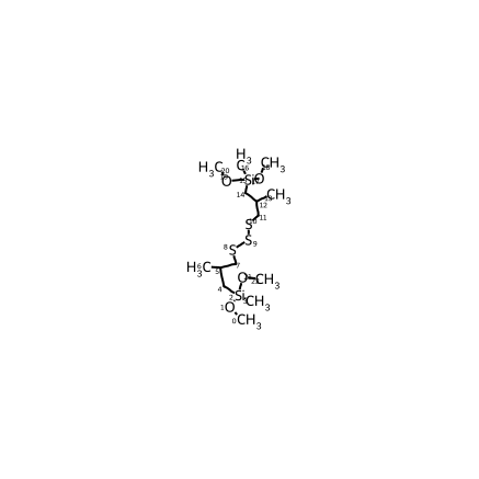 CO[Si](C)(CC(C)CSSSCC(C)C[Si](C)(OC)OC)OC